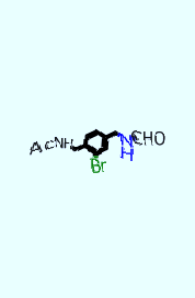 CC(=O)NCc1ccc(CNC=O)cc1Br